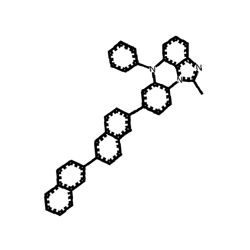 Cc1nc2cccc3c2n1-c1ccc(-c2ccc4cc(-c5ccc6ccccc6c5)ccc4c2)cc1N3c1ccccc1